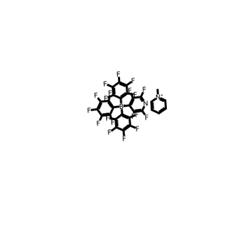 C[n+]1ccccc1.Fc1nc(F)c(F)c([B-](c2c(F)c(F)c(F)c(F)c2F)(c2c(F)c(F)c(F)c(F)c2F)c2c(F)c(F)c(F)c(F)c2F)c1F